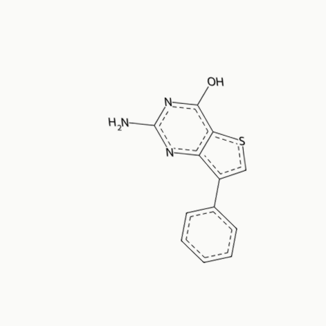 Nc1nc(O)c2scc(-c3ccccc3)c2n1